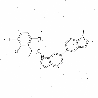 CC(On1ccc2ncc(-c3ccc4c(ccn4C)c3)cc21)c1c(Cl)ccc(F)c1Cl